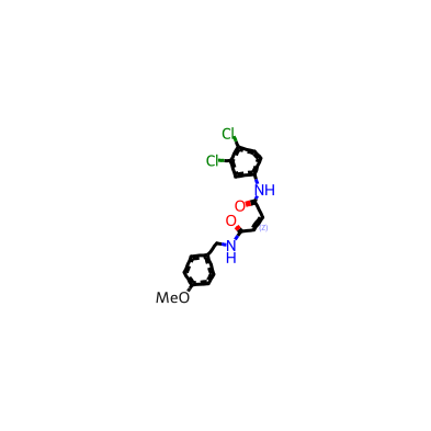 COc1ccc(CNC(=O)/C=C\C(=O)Nc2ccc(Cl)c(Cl)c2)cc1